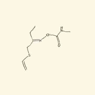 C=CSCC(CC)=NOC(=O)NC